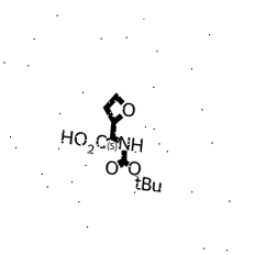 CC(C)(C)OC(=O)N[C@H](C(=O)O)C1CCO1